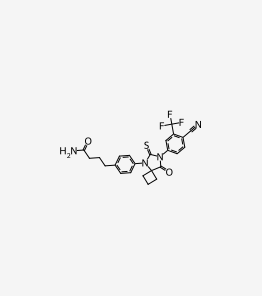 N#Cc1ccc(N2C(=O)C3(CCC3)N(c3ccc(CCCC(N)=O)cc3)C2=S)cc1C(F)(F)F